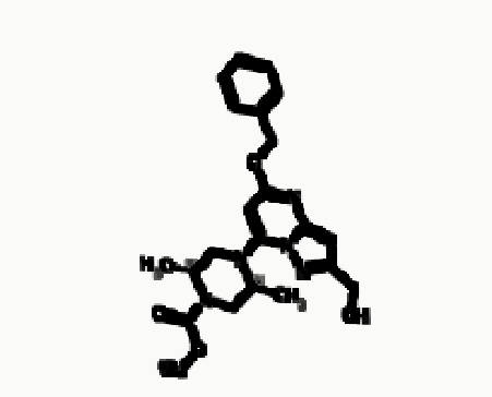 C[C@@H]1CN(c2cc(OCc3ccccc3)nc3cc(CO)nn23)[C@@H](C)CN1C(=O)OC(C)(C)C